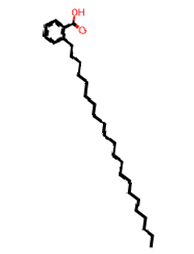 CCCCCCCCCCCCCCCCCCCCCCc1ccccc1C(=O)O